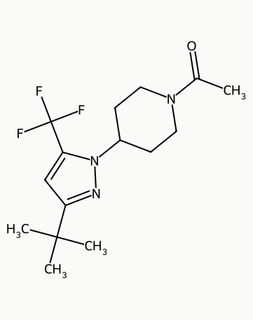 CC(=O)N1CCC(n2nc(C(C)(C)C)cc2C(F)(F)F)CC1